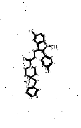 CN1c2ccc(Cl)cc2C(CCC(=O)N2CCC(O)(Cc3ccccc3)CC2)C1c1ccc(Cl)cc1